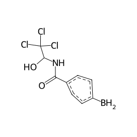 Bc1ccc(C(=O)NC(O)C(Cl)(Cl)Cl)cc1